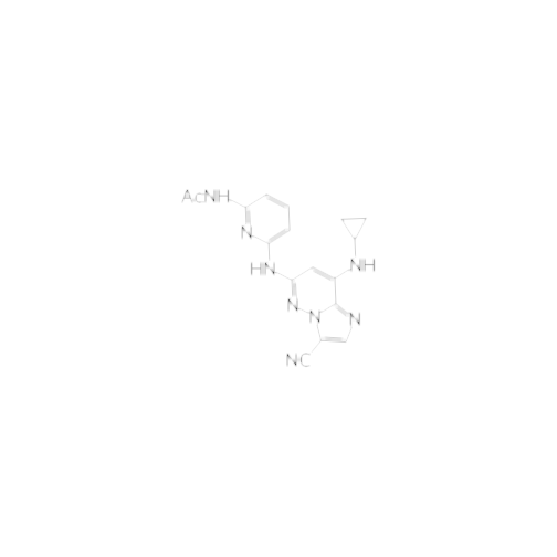 CC(=O)Nc1cccc(Nc2cc(NC3CC3)c3ncc(C#N)n3n2)n1